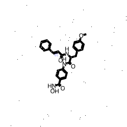 COc1ccc(CC(NC(=O)/C=C/c2ccccc2)C(=O)Nc2ccc(C(=O)NO)cc2)cc1